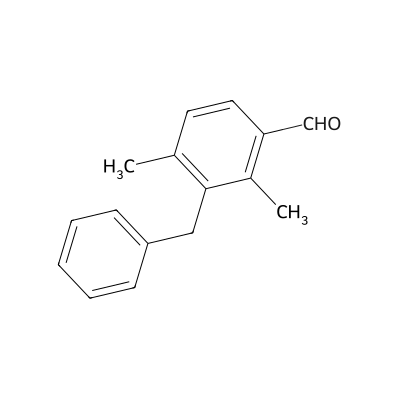 Cc1ccc(C=O)c(C)c1Cc1ccccc1